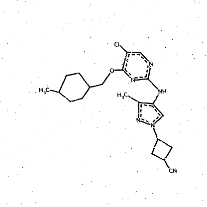 Cc1nn(C2CC(C#N)C2)cc1Nc1ncc(Cl)c(OCC2CCC(C)CC2)n1